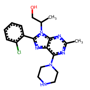 Cc1nc(N2CCNCC2)c2nc(-c3ccccc3Cl)n(C(C)CO)c2n1